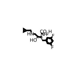 O=C(O)N[C@@H](Cc1cc(F)cc(F)c1)[C@H](O)CNCC1CC1